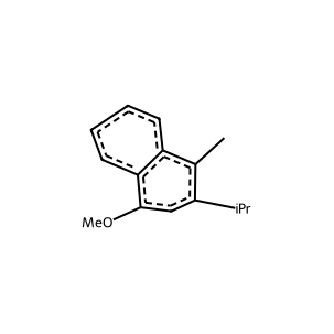 COc1cc(C(C)C)c(C)c2ccccc12